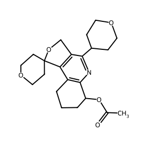 CC(=O)OC1CCCc2c1nc(C1CCOCC1)c1c2C2(CCOCC2)OC1